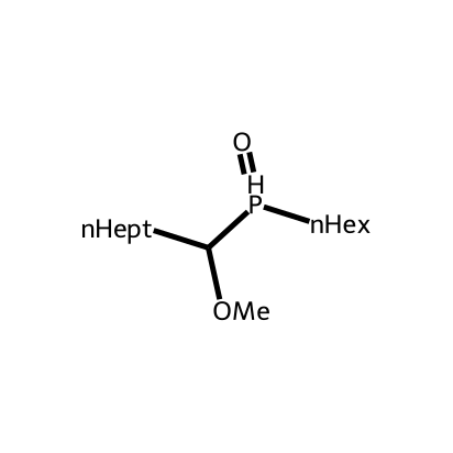 CCCCCCCC(OC)[PH](=O)CCCCCC